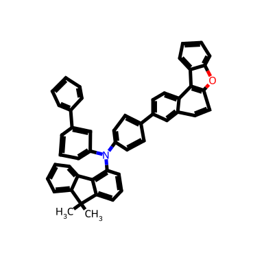 CC1(C)c2ccccc2-c2c(N(c3ccc(-c4ccc5c(ccc6oc7ccccc7c65)c4)cc3)c3cccc(-c4ccccc4)c3)cccc21